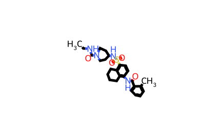 CCNC(=O)N1CCC(NS(=O)(=O)c2ccc(NC(=O)c3ccccc3C)c3c2CCCC3)CC1